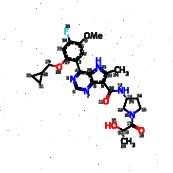 COc1cc(-c2ncnc3c(C(=O)N[C@@H]4CCN(C(=O)[C@H](C)O)C4)c(C)[nH]c23)c(OCC2CC2)cc1F